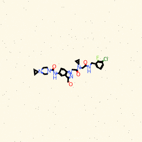 O=Cc1nn(CC(=O)N(CC(=O)NCc2cccc(Cl)c2F)C2CC2)c2ccc(NC(=O)N3CCN(C4CC4)CC3)cc12